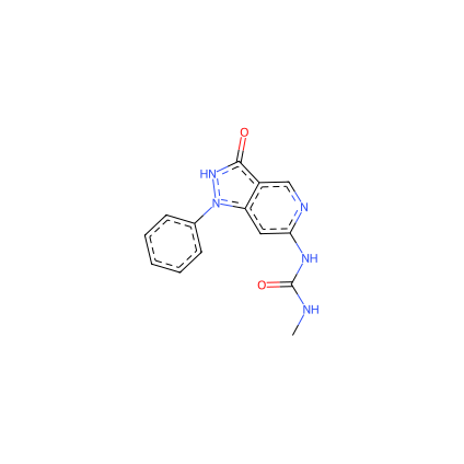 CNC(=O)Nc1cc2c(cn1)c(=O)[nH]n2-c1ccccc1